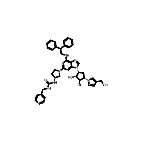 O=C(NCc1ccncc1)N[C@@H]1CCN(c2nc(NCC(c3ccccc3)c3ccccc3)c3ncn([C@@H]4C[C@H](n5cc(CO)cn5)[C@@H](O)[C@H]4O)c3n2)C1